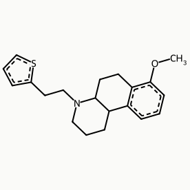 COc1cccc2c1CCC1C2CCCN1CCc1cccs1